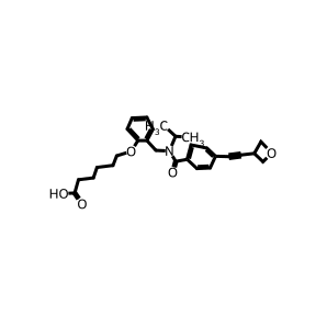 CC(C)N(Cc1ccccc1OCCCCCC(=O)O)C(=O)c1ccc(C#CC2COC2)cc1